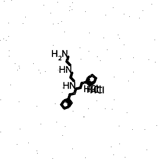 Cl.Cl.Cl.NCCCNCCCNC(CCC1CC2CCC1C2)CCC1CC2CCC1C2